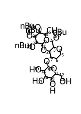 CCCCOCC1OCCC(OC2OC(CO)C(O)C(O)C2O)C1OC1OC(C)C(OCCCC)C(OCCCC)C1OCCCC